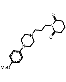 COc1ccc(N2CCN(CCCN3C(=O)CCCC3=O)CC2)cc1